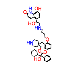 O=C(OCC1(Cc2ccccc2OCCCCNC[C@H](O)c2ccc(O)c3[nH]c(=O)ccc23)CCNCC1)C(O)(c1ccccc1)C1CCCCC1